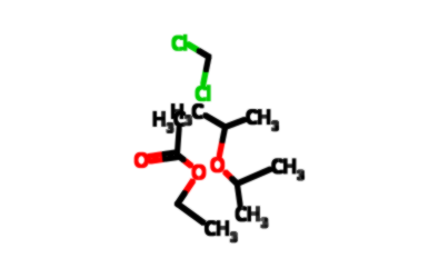 CC(C)OC(C)C.CCOC(C)=O.ClCCl